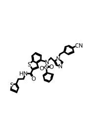 N#Cc1ccc(Cn2cncc2CN(c2cccc3sc(C(=O)NCCc4cccs4)cc23)S(=O)(=O)c2ccccc2)cc1